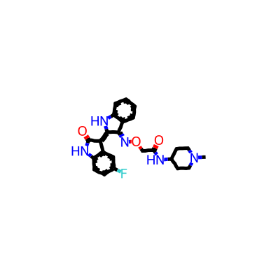 CN1CCC(NC(=O)CO/N=C2/C(=C3/C(=O)Nc4ccc(F)cc43)Nc3ccccc32)CC1